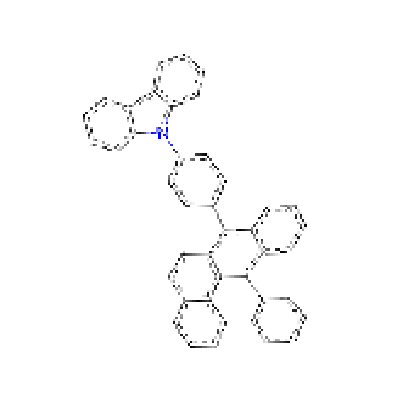 c1ccc(-c2c3ccccc3c(-c3ccc(-n4c5ccccc5c5ccccc54)cc3)c3ccc4ccccc4c23)cc1